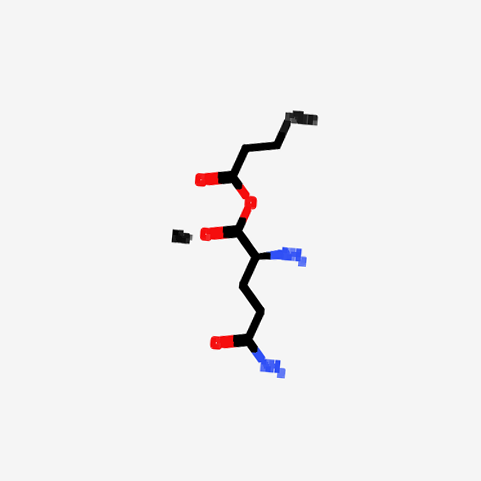 CCCCCCCCCCCC(=O)OC(=O)[C@@H](N)CCC(N)=O.[Na]